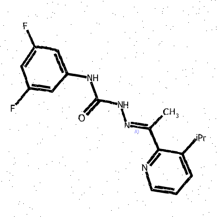 C/C(=N\NC(=O)Nc1cc(F)cc(F)c1)c1ncccc1C(C)C